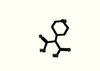 O=C(O)C(C(=O)O)C1CCNCC1